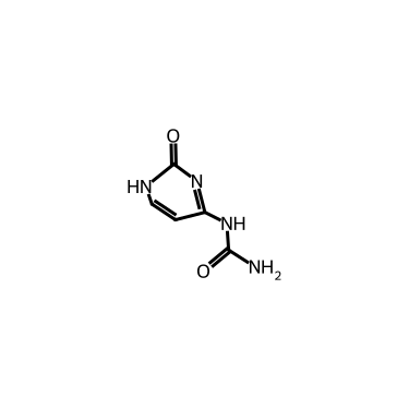 NC(=O)Nc1cc[nH]c(=O)n1